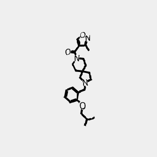 Cc1nocc1C(=O)N1CCC2(CCN(Cc3ccccc3OCC(C)C)C2)CC1